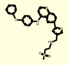 CS(=O)(=O)CCNCc1coc(-c2ccc3nccc(Nc4ccc(Oc5ccccc5)cc4)c3c2)c1